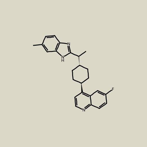 Cc1ccc2nc(C(C)[C@H]3CC[C@H](c4ccnc5ccc(F)cc54)CC3)[nH]c2c1